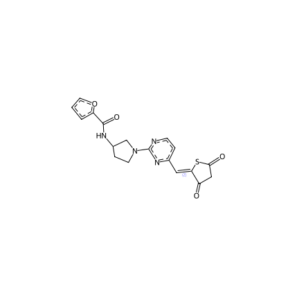 O=C1CC(=O)/C(=C/c2ccnc(N3CCC(NC(=O)c4ccco4)C3)n2)S1